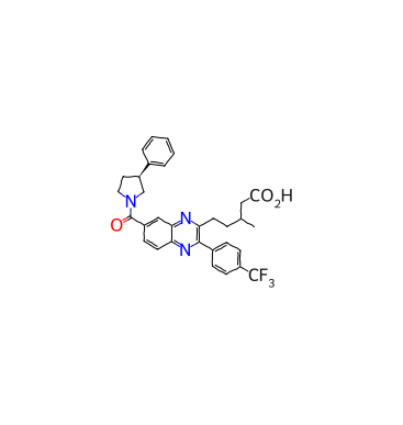 CC(CCc1nc2cc(C(=O)N3CC[C@@H](c4ccccc4)C3)ccc2nc1-c1ccc(C(F)(F)F)cc1)CC(=O)O